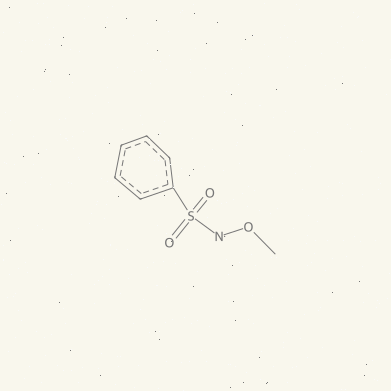 CO[N]S(=O)(=O)c1ccccc1